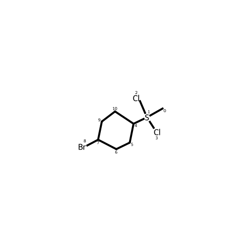 CS(Cl)(Cl)C1CCC(Br)CC1